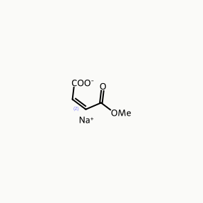 COC(=O)/C=C\C(=O)[O-].[Na+]